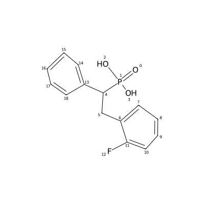 O=P(O)(O)C(Cc1ccccc1F)c1ccccc1